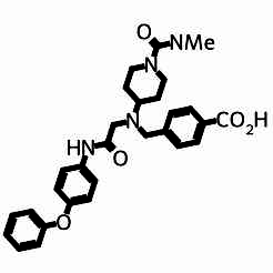 CNC(=O)N1CCC(N(CC(=O)Nc2ccc(Oc3ccccc3)cc2)Cc2ccc(C(=O)O)cc2)CC1